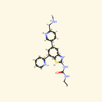 CCNC(=O)Nc1nc2cc(-c3ccc(CNC)nc3)cc(-c3ccccn3)c2s1